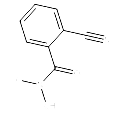 CN(C)C(=O)c1ccccc1C#N